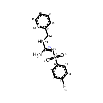 N/C(=N\S(=O)(=O)c1ccc(F)cc1)NCc1ccccn1